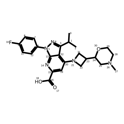 CC(C)c1nn(-c2ccc(F)cc2)c2nc(C(=O)O)cc(N3CC(C4CN(C)CCO4)C3)c12